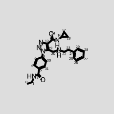 CCNC(=O)c1ccc(-n2nnc(C(=O)NC3CC3)c2CNCCc2ccccc2)cc1